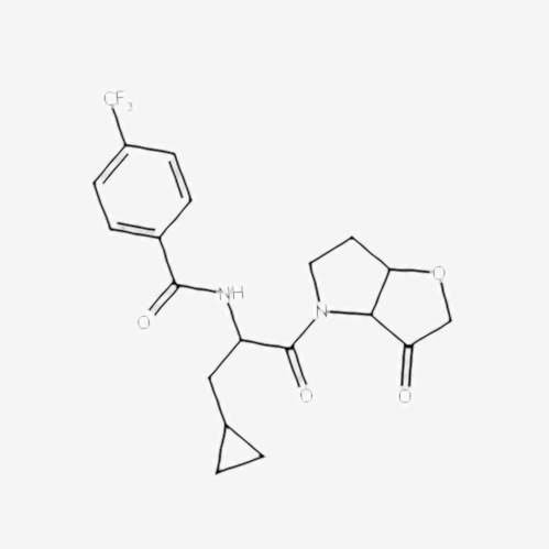 O=C(NC(CC1CC1)C(=O)N1CCC2OCC(=O)C21)c1ccc(C(F)(F)F)cc1